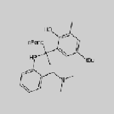 CCCCCC(C)(Pc1ccccc1CN(C)C)c1cc(C(C)(C)C)cc(C)c1O